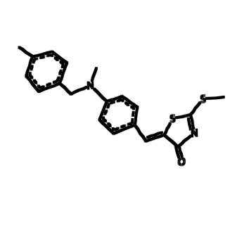 CSC1=NC(=O)/C(=C/c2ccc(N(C)Cc3ccc(C)cc3)cc2)S1